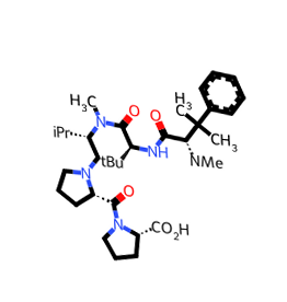 CN[C@H](C(=O)N[C@H](C(=O)N(C)[C@H](CN1CCC[C@H]1C(=O)N1CCC[C@H]1C(=O)O)C(C)C)C(C)(C)C)C(C)(C)c1ccccc1